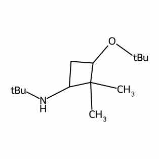 CC(C)(C)NC1CC(OC(C)(C)C)C1(C)C